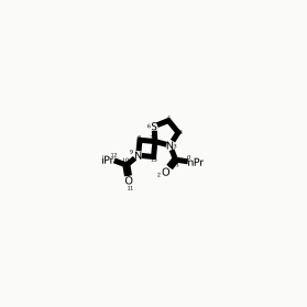 CCCC(=O)N1CCSC12CN(C(=O)C(C)C)C2